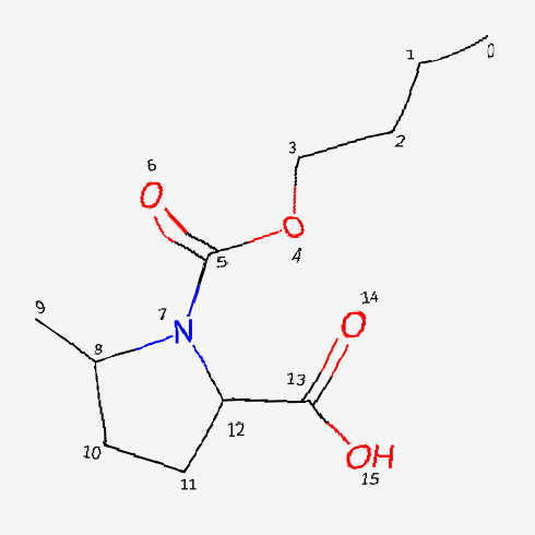 CCCCOC(=O)N1C(C)CCC1C(=O)O